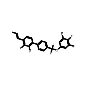 CC=Cc1ccc(-c2ccc(C(F)(F)Oc3cc(F)c(F)c(F)c3)cc2)c(F)c1F